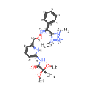 CCOC(C)(OCC)C(=O)Nc1cccc(CO/N=C(/c2ccccc2)C2N(C)NN2C)n1